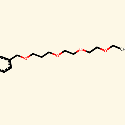 CCOCCOCCOCCCOCc1ccccc1